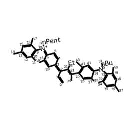 C=CC(=C1C=C/C(=[N+](\CCCCC)c2c(C)cc(C)cc2C)C(C)=C/1)/C(CC)=C(\C)c1cc(C)c(N(CCCC)c2c(C)cc(C)cc2C)cc1C